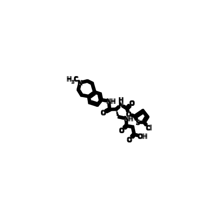 CN1CCc2ccc(NC(=O)[C@@H](CNC(=O)CC(=O)O)NC(=O)Oc3ccc(Cl)s3)cc2CC1